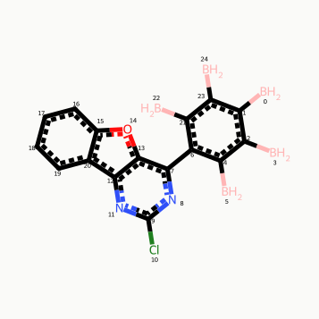 Bc1c(B)c(B)c(-c2nc(Cl)nc3c2oc2ccccc23)c(B)c1B